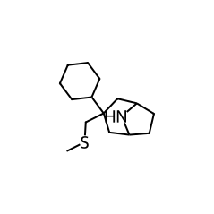 CSCC1(C2CCCCC2)CC2CCC(C1)N2